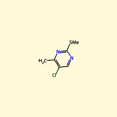 [CH2]c1nc(SC)ncc1Cl